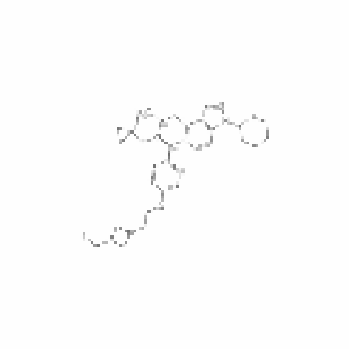 C[C@@H]1Cc2c(ccc3c2cnn3C2CCCCO2)[C@@H](c2ccc(OCCN3CC(CF)C3)cn2)N1CC1(F)CC1